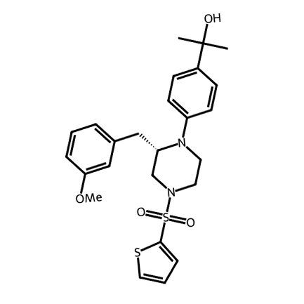 COc1cccc(C[C@H]2CN(S(=O)(=O)c3cccs3)CCN2c2ccc(C(C)(C)O)cc2)c1